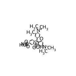 CCN(CC)c1ccc2c(-c3ccc(S(=O)(=O)O)cc3S(=O)(=O)O)c3cc(C)c(=[N+](CC)CC)cc-3oc2c1.[Na+]